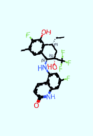 CC[C@@H]1C[C@@](O)(C(F)(F)F)[C@@H](Nc2cc(F)cc3[nH]c(=O)ccc23)c2cc(C)c(F)c(O)c21